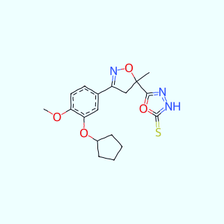 COc1ccc(C2=NOC(C)(c3n[nH]c(=S)o3)C2)cc1OC1CCCC1